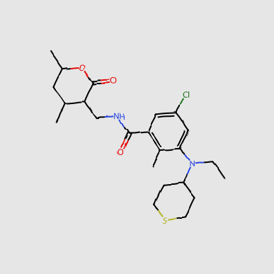 CCN(c1cc(Cl)cc(C(=O)NCC2C(=O)OC(C)CC2C)c1C)C1CCSCC1